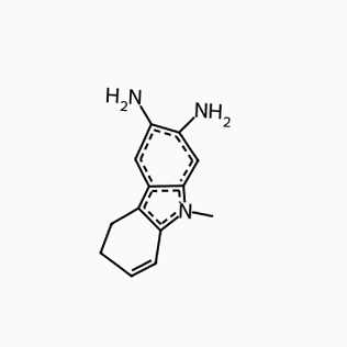 Cn1c2c(c3cc(N)c(N)cc31)CCC=C2